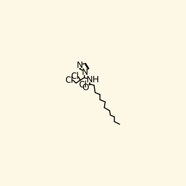 CCCCCCCCCCCC(=O)NC(n1ccnc1)C(Cl)(Cl)CCl